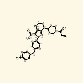 C=CC(=O)N1CCC(C2CCNc3c2nn(-c2ccc(Oc4ccc(Cl)cc4)cc2)c3C(N)=O)CC1